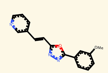 COc1cccc(-c2nnc(/C=C/c3cccnc3)o2)c1